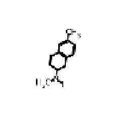 Cc1ccc2c(c1)CCC(N(C)I)C2